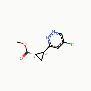 COC(=O)[C@H]1C[C@@H]1c1cc(Cl)cnn1